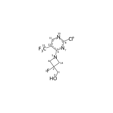 OCC1(F)CN(c2nc(Cl)ncc2C(F)(F)F)C1